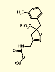 CCOC(=O)C1(Cc2cccc(C)c2)CC(CNC(=O)OC(C)(C)C)=NO1